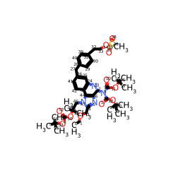 CCOCc1nc2c(N(C(=O)OC(C)(C)C)C(=O)OC(C)(C)C)nc3cc(Cc4ccc(CCOS(C)(=O)=O)cc4)ccc3c2n1CC(C)(C)OC(=O)OC(C)(C)C